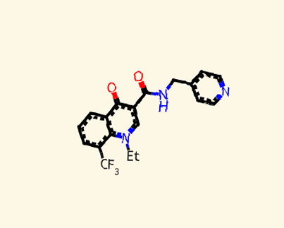 CCn1cc(C(=O)NCc2ccncc2)c(=O)c2cccc(C(F)(F)F)c21